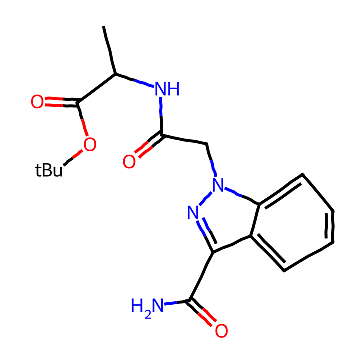 CC(NC(=O)Cn1nc(C(N)=O)c2ccccc21)C(=O)OC(C)(C)C